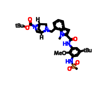 COc1c(NC(=O)c2cc3cccc(CN4C[C@@H]5C[C@H]4CN5C(=O)OC(C)(C)C)c3n2C)cc(C(C)(C)C)cc1NS(C)(=O)=O